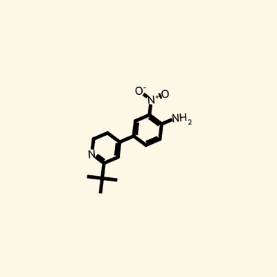 CC(C)(C)C1=NCCC(c2ccc(N)c([N+](=O)[O-])c2)=C1